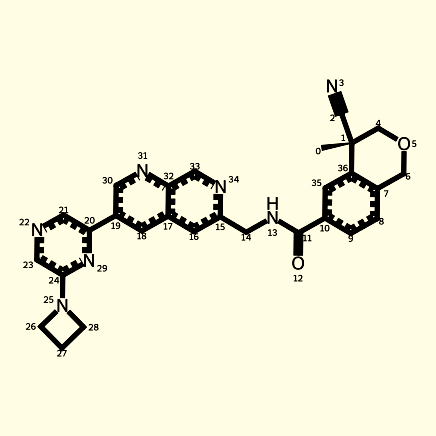 C[C@@]1(C#N)COCc2ccc(C(=O)NCc3cc4cc(-c5cncc(N6CCC6)n5)cnc4cn3)cc21